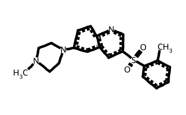 Cc1ccccc1S(=O)(=O)c1cnc2ccc(N3CCN(C)CC3)cc2c1